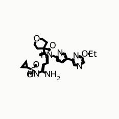 C=C(/C=C\C=C(/N)NS(=O)(=O)C1CC1)C1(C(=O)Nc2ccc(-c3cncc(OCC)n3)cn2)CCOCC1